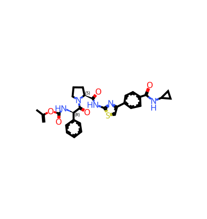 C=C(C)OC(=O)N[C@@H](C(=O)N1CCC[C@H]1C(=O)Nc1nc(-c2ccc(C(=O)NC3CC3)cc2)cs1)c1ccccc1